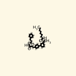 CCCCCCCNC(=O)N(C)c1cccc(-c2ccc(CC(OC(=O)CCc3ccccc3)C(=O)O)cc2)c1